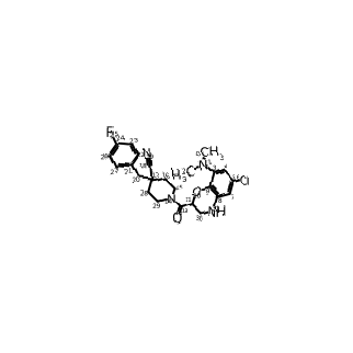 CN(C)c1cc(Cl)cc2c1OC(C(=O)N1CCC(C#N)(Cc3ccc(F)cc3)CC1)CN2